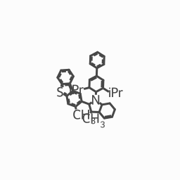 Cc1cc2sc3ccccc3c2cc1C1C(C)C2C=CCCC2N1C1C(C(C)C)=CC(c2ccccc2)=CC1C(C)C